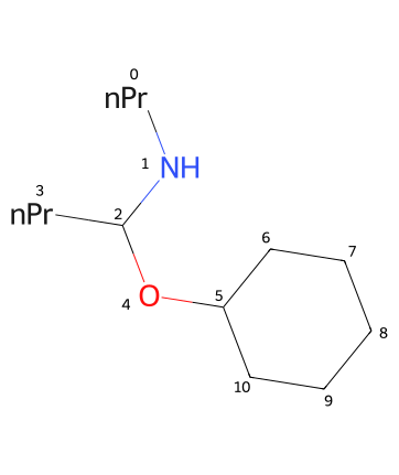 CCCNC(CCC)OC1CCCCC1